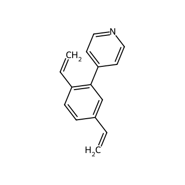 C=Cc1ccc(C=C)c(-c2ccncc2)c1